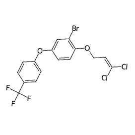 FC(F)(F)c1ccc(Oc2ccc(OCC=C(Cl)Cl)c(Br)c2)cc1